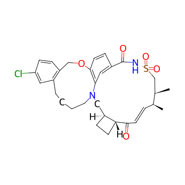 C[C@@H]1CS(=O)(=O)NC(=O)c2ccc3c(c2)N(CCCCc2cc(Cl)ccc2CO3)C[C@@H]2CC[C@H]2C(=O)/C=C/[C@@H]1C